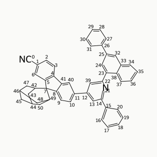 N#Cc1ccc2c(c1)C1(c3ccc(-c4cc(-c5ccccc5)nc(-c5cc(-c6ccccc6)cc6ccccc56)c4)cc3-2)C2CC3CC(C2)CC1C3